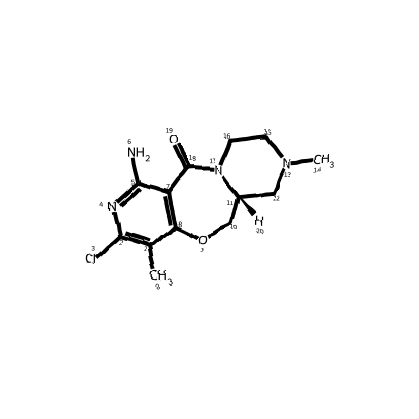 Cc1c(Cl)nc(N)c2c1OC[C@H]1CN(C)CCN1C2=O